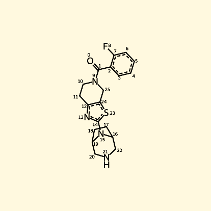 O=C(c1ccccc1F)N1CCc2nc(N3C4CCC3CNC4)sc2C1